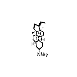 C/C=C1/CC[C@H]2[C@@H]3CC[C@@H]4C[C@H](NC)CC[C@@H]4[C@H]3CC[C@]12C